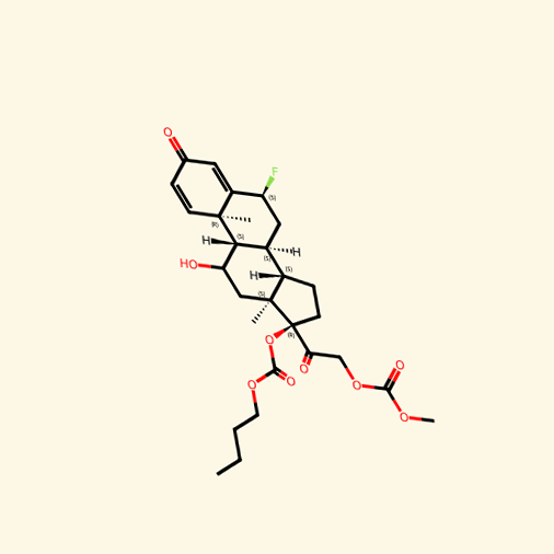 CCCCOC(=O)O[C@]1(C(=O)COC(=O)OC)CC[C@H]2[C@@H]3C[C@H](F)C4=CC(=O)C=C[C@]4(C)[C@H]3C(O)C[C@@]21C